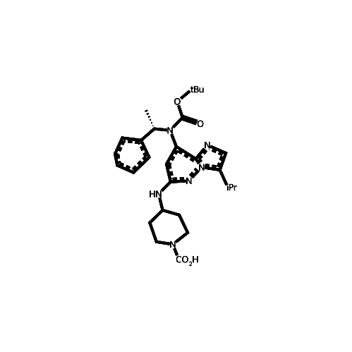 CC(C)c1cnc2c(N(C(=O)OC(C)(C)C)[C@@H](C)c3ccccc3)cc(NC3CCN(C(=O)O)CC3)nn12